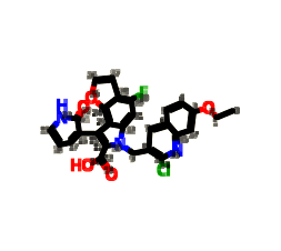 CCOc1ccc2cc(Cn3c(C(=O)O)c(-c4ccc[nH]c4=O)c4c5occc5c(F)cc43)c(Cl)nc2c1